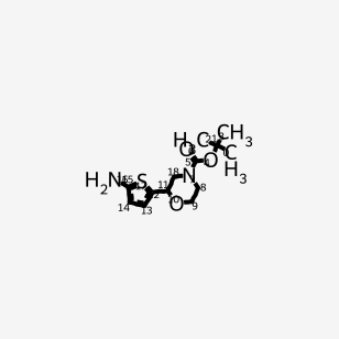 CC(C)(C)OC(=O)N1CCOC(c2ccc(N)s2)C1